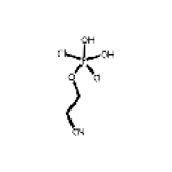 N#CCCOP(O)(O)(Cl)Cl